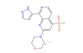 C[C@@H]1COCCN1c1cc(S(C)(=O)=O)c2ccnc(-c3ccn[nH]3)c2n1